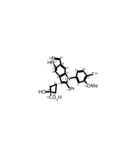 COc1cc(-n2c(C(C)C)c([C@H]3C[C@](O)(C(=O)O)C3)c3cc4[nH]ncc4cc32)ccc1F